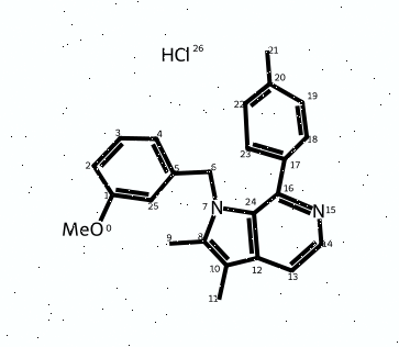 COc1cccc(Cn2c(C)c(C)c3ccnc(-c4ccc(C)cc4)c32)c1.Cl